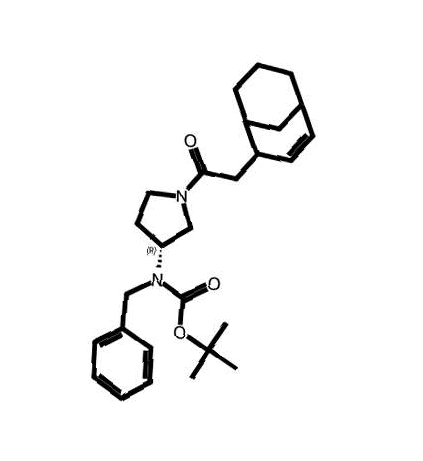 CC(C)(C)OC(=O)N(Cc1ccccc1)[C@@H]1CCN(C(=O)CC2C=CC3CCCC2C3)C1